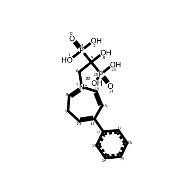 O=P(O)(O)C(O)(C[N+]1=CCC=C(c2ccccc2)C=C1)P(=O)(O)O